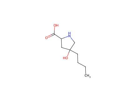 CCCCC1(O)CNC(C(=O)O)C1